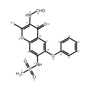 CS(=O)(=O)Nc1cc2oc(I)c(NC=O)c(=O)c2cc1Oc1ccccc1